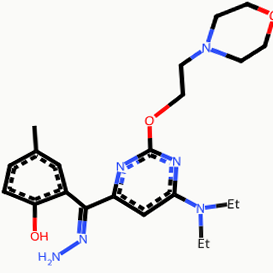 CCN(CC)c1cc(C(=NN)c2cc(C)ccc2O)nc(OCCN2CCOCC2)n1